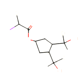 CCC(I)C(=O)OC1CC(C(O)(CC)CC)C(C(O)(CC)CC)C1